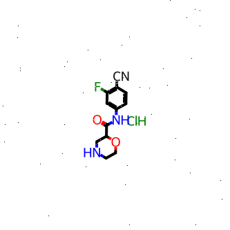 Cl.N#Cc1ccc(NC(=O)C2CNCCO2)cc1F